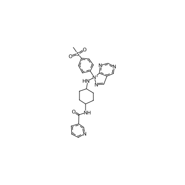 CS(=O)(=O)c1ccc([N+]2(NC3CCC(NC(=O)c4cccnc4)CC3)N=Cc3cncnc32)cc1